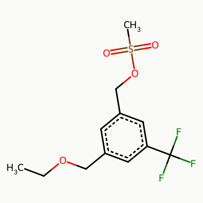 CCOCc1cc(COS(C)(=O)=O)cc(C(F)(F)F)c1